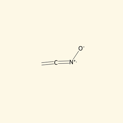 C=C=[N+][O-]